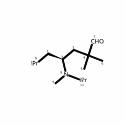 CC(C)C[C@@H](CC(C)(C)C=O)N(C)C(C)C